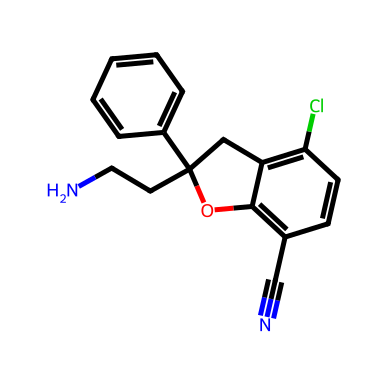 N#Cc1ccc(Cl)c2c1OC(CCN)(c1ccccc1)C2